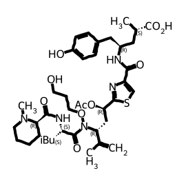 C=C(C)[C@@H](C[C@@H](OC(C)=O)c1nc(C(=O)N[C@@H](Cc2ccc(O)cc2)C[C@H](C)C(=O)O)cs1)N(OCCCO)C(=O)[C@@H](NC(=O)[C@H]1CCCCN1C)[C@@H](C)CC